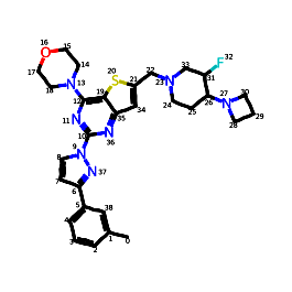 Cc1cccc(-c2ccn(-c3nc(N4CCOCC4)c4sc(CN5CCC(N6CCC6)C(F)C5)cc4n3)n2)c1